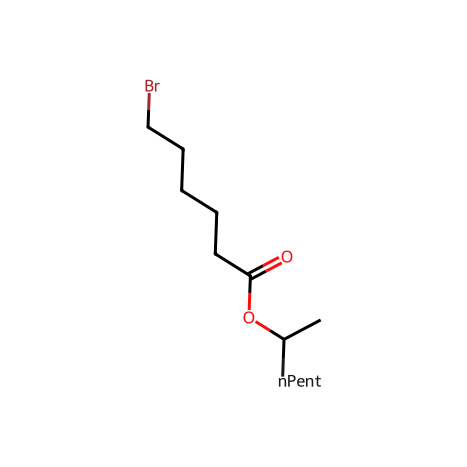 CCCCCC(C)OC(=O)CCCCCBr